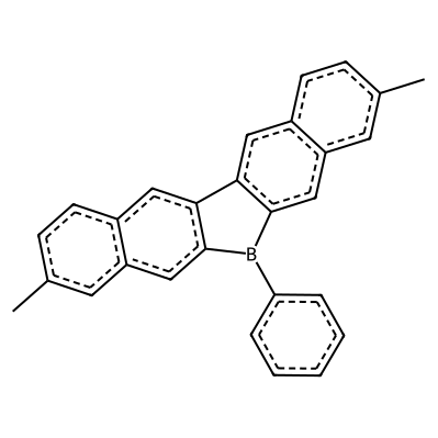 Cc1ccc2cc3c(cc2c1)B(c1ccccc1)c1cc2cc(C)ccc2cc1-3